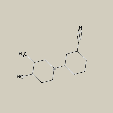 CC1CN(C2CCCC(C#N)C2)CCC1O